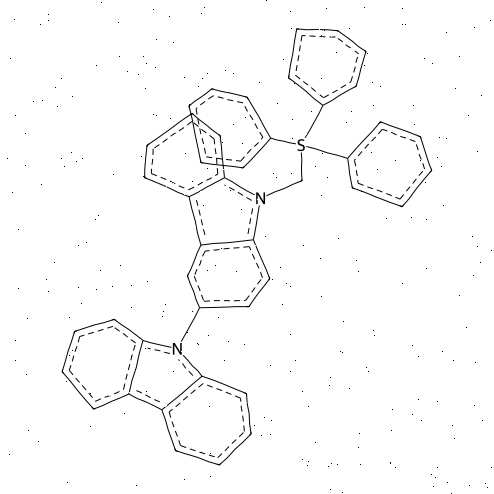 c1ccc(S(Cn2c3ccccc3c3cc(-n4c5ccccc5c5ccccc54)ccc32)(c2ccccc2)c2ccccc2)cc1